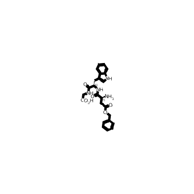 N[C@@H](CC(=O)OCc1ccccc1)C(=O)N[C@@H](Cc1c[nH]c2ccccc12)C(=O)NCC(=O)O